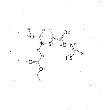 CCOC(=O)CCN(SN(C)C(=O)ON=C(C)S)C(C)OC